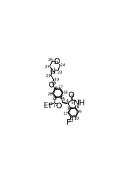 CCC1O/C(=C2/C(=O)Nc3ccc(F)cc32)c2ccc(OCCN3CCOCC3)cc21